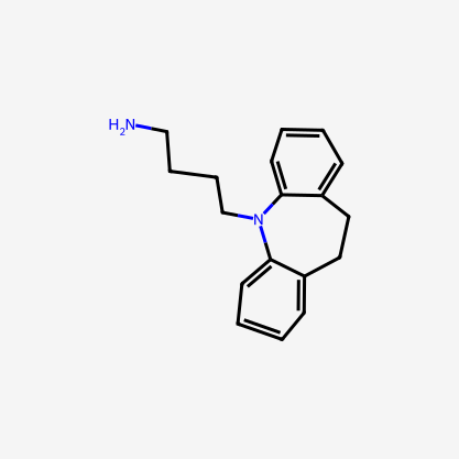 NCCCCN1c2ccccc2CCc2ccccc21